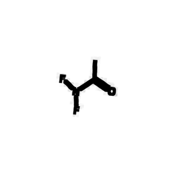 CC(=O)N(F)F